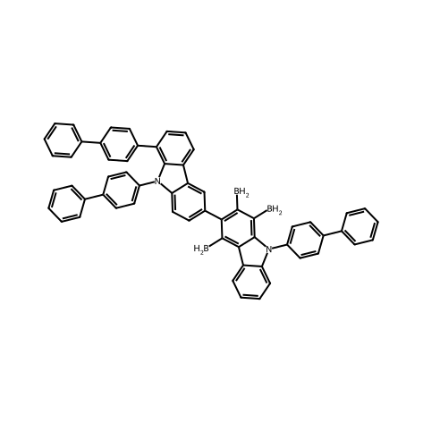 Bc1c(-c2ccc3c(c2)c2cccc(-c4ccc(-c5ccccc5)cc4)c2n3-c2ccc(-c3ccccc3)cc2)c(B)c2c3ccccc3n(-c3ccc(-c4ccccc4)cc3)c2c1B